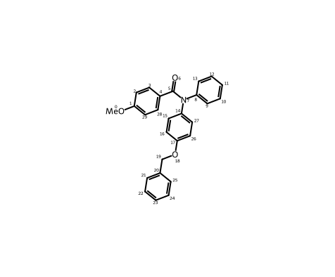 COc1ccc(C(=O)N(c2ccccc2)c2ccc(OCc3ccccc3)cc2)cc1